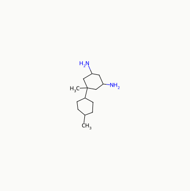 CC1CCC(C2(C)CC(N)CC(N)C2)CC1